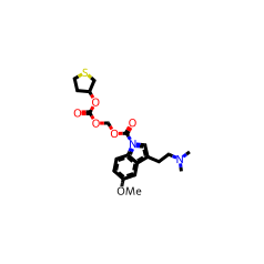 COc1ccc2c(c1)c(CCN(C)C)cn2C(=O)OCOC(=O)OC1CCSC1